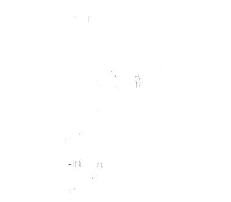 COc1cc(OCc2sc(-c3ccc(C(F)(F)F)cc3)nc2CNCC2CC2)ccc1-c1noc(=O)[nH]1